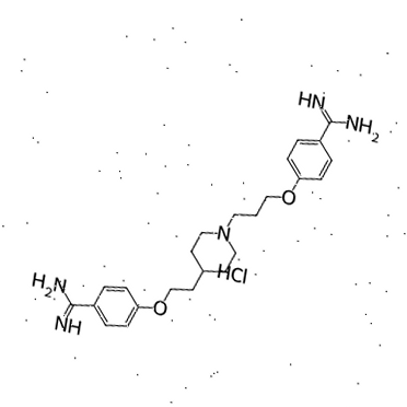 Cl.N=C(N)c1ccc(OCCCN2CCC(CCOc3ccc(C(=N)N)cc3)CC2)cc1